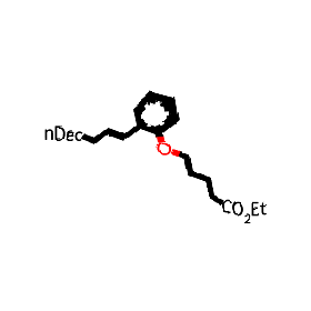 CCCCCCCCCCCC=Cc1ccccc1OCCCCC(=O)OCC